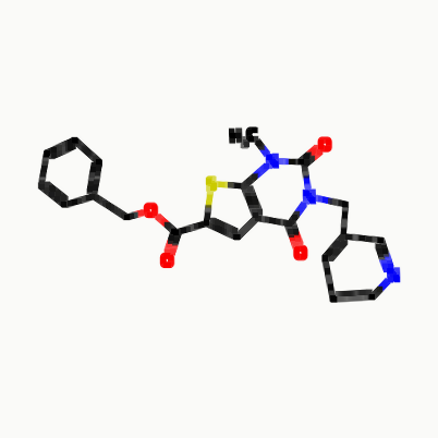 Cn1c(=O)n(Cc2cccnc2)c(=O)c2cc(C(=O)OCc3ccccc3)sc21